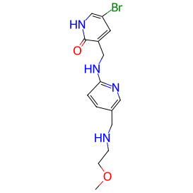 COCCNCc1ccc(NCc2cc(Br)c[nH]c2=O)nc1